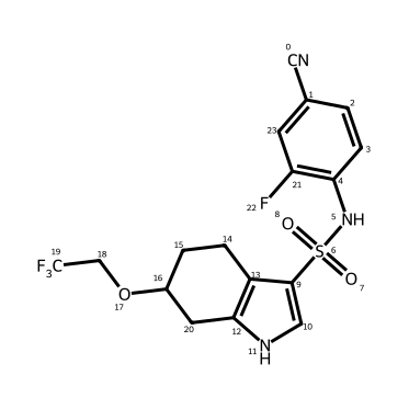 N#Cc1ccc(NS(=O)(=O)c2c[nH]c3c2CCC(OCC(F)(F)F)C3)c(F)c1